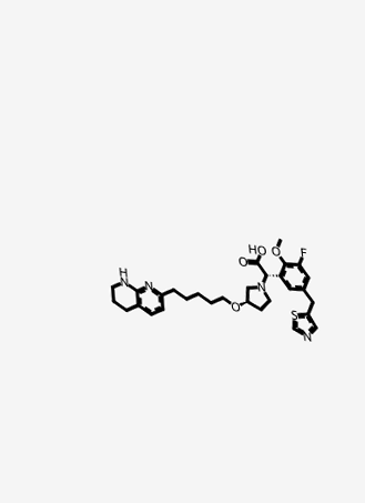 COc1c(F)cc(Cc2cncs2)cc1[C@@H](C(=O)O)N1CC[C@@H](OCCCCCc2ccc3c(n2)NCCC3)C1